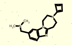 CN(C)Cc1ccc2nc3n(c2c1)CCN(C1=CC=C1)CC3